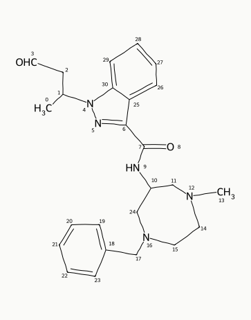 CC(CC=O)n1nc(C(=O)NC2CN(C)CCN(Cc3ccccc3)C2)c2ccccc21